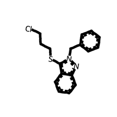 ClCCCSc1c2ccccc2nn1Cc1ccccc1